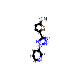 N#Cc1ccc(-c2nnn(-c3cccnc3)n2)s1